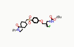 CC(C)N1CC[C@]2(CC[C@H](CS(=O)(=O)c3ccc(OC/C(=C/F)CNC(=O)OC(C)(C)C)cc3)CC2)C1=O